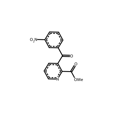 COC(=O)c1ncccc1C(=O)c1cccc([N+](=O)[O-])c1